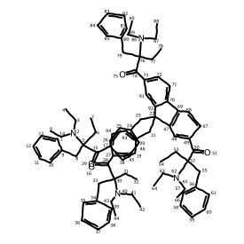 CCN(CC)C(CC)(Cc1ccccc1)C(=O)c1ccc(CC2(Cc3ccc(C(=O)C(CC)(Cc4ccccc4)N(CC)CC)cc3)c3cc(C(=O)C(CC)(Cc4ccccc4)N(CC)CC)ccc3-c3ccc(C(=O)C(CC)(Cc4ccccc4)N(CC)CC)cc32)cc1